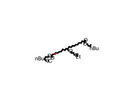 C=C=C=CC(CCCC)CCOC(=O)CCCCCCCCCC(CCCCCCCCCC(=O)OCCC(C)CCCC)COCCCN(C)CC